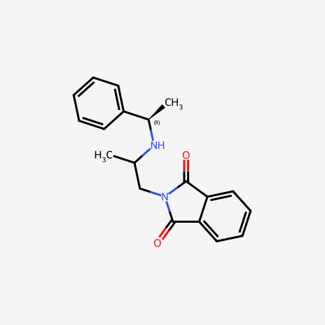 CC(CN1C(=O)c2ccccc2C1=O)N[C@H](C)c1ccccc1